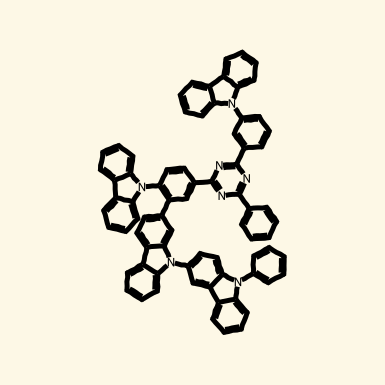 c1ccc(-c2nc(-c3cccc(-n4c5ccccc5c5ccccc54)c3)nc(-c3ccc(-n4c5ccccc5c5ccccc54)c(-c4ccc5c6ccccc6n(-c6ccc7c(c6)c6ccccc6n7-c6ccccc6)c5c4)c3)n2)cc1